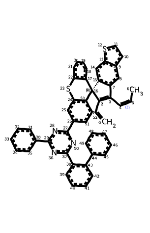 C=CC1=C(/C=C\C)c2cc3ccsc3cc2[C@]12c1ccccc1Sc1cc(-c3nc(-c4ccccc4)nc(-c4ccccc4-c4ccccc4)n3)ccc12